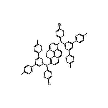 CCc1ccc(N(c2cc(-c3ccc(C)cc3)cc(-c3ccc(C)cc3)c2)c2ccc3ccc4c(N(c5ccc(CC)cc5)c5cc(-c6ccc(C)cc6)cc(-c6ccc(C)cc6)c5)ccc5ccc2c3c54)cc1